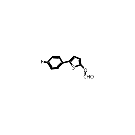 O=COc1ccc(-c2ccc(F)cc2)s1